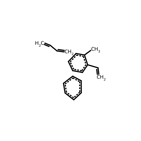 C=CC=C.C=Cc1ccccc1C.c1ccccc1